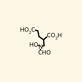 O=CN(O)CC(CCC(=O)O)C(=O)O